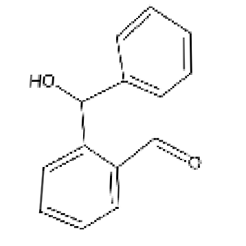 O=Cc1ccccc1C(O)c1ccccc1